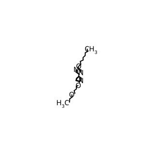 CCCCCCCCOc1cnc(-c2ccc(OCCCCOCCCC)nc2)cn1